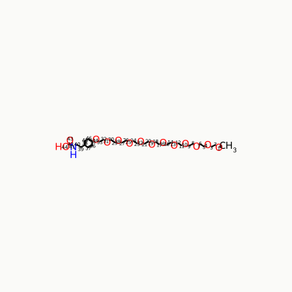 COCCOCCOCCOCCOCCOCCOCCOCCOCCOCCOCCOc1ccc(CCNC(=O)O)cc1